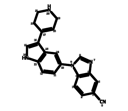 N#Cc1ccc2c(c1)ncn2-c1ccc2[nH]cc(C3=CCNCC3)c2c1